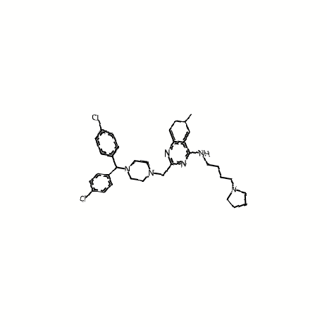 CC1C=c2c(NCCCCN3CCCC3)nc(CN3CCN(C(c4ccc(Cl)cc4)c4ccc(Cl)cc4)CC3)nc2=CC1